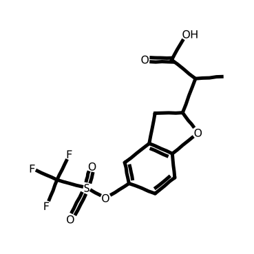 CC(C(=O)O)C1Cc2cc(OS(=O)(=O)C(F)(F)F)ccc2O1